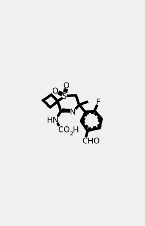 CC1(c2cc(C=O)ccc2F)CS(=O)(=O)C2(CCC2)C(NC(=O)O)=N1